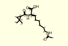 CC(=O)NCCCCC/C=C(\NC(=O)C1CC1(C)C)C(=O)O